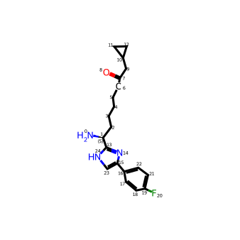 N[C@@H](CCCCCC(=O)CC1CC1)c1nc(-c2ccc(F)cc2)c[nH]1